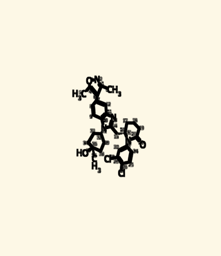 Cc1noc(C)c1-c1ccc2c(c1)nc(C[C@@H]1CCCC(=O)N1c1ccc(Cl)c(Cl)c1)n2[C@H]1CC[C@@](C)(O)CC1